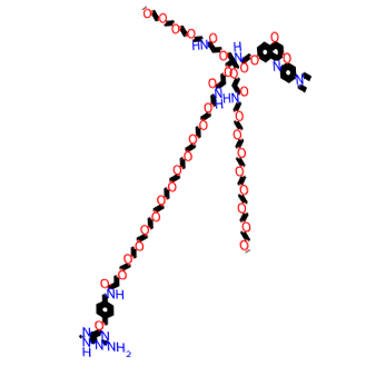 CCN(CC)c1ccc2nc3c4cc(OCC(=O)NC(COCCC(=O)NCCOCCOCCOCCOC)(COCCC(=O)NCCOCCOCCOCCOCCOCCOCCOCCOC)COCCC(=O)NCCOCCOCCOCCOCCOCCOCCOCCOCCOCCOCCOCCOCCC(=O)NCc5ccc(COc6nc(N)nc7[nH]cnc67)cc5)ccc4c(=O)cc-3oc2c1